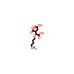 CCCCCOC(C(=O)O)C(CC(=O)O)C(=O)O